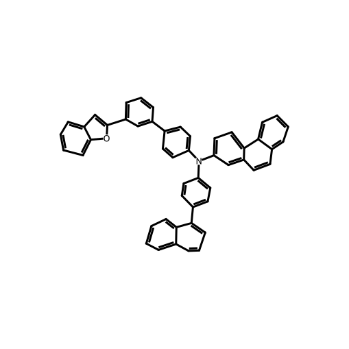 c1cc(-c2ccc(N(c3ccc(-c4cccc5ccccc45)cc3)c3ccc4c(ccc5ccccc54)c3)cc2)cc(-c2cc3ccccc3o2)c1